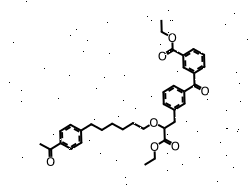 CCOC(=O)c1cccc(C(=O)c2cccc(CC(OCCCCCCc3ccc(C(C)=O)cc3)C(=O)OCC)c2)c1